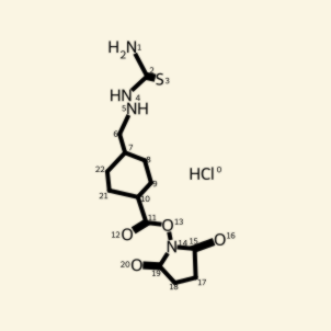 Cl.NC(=S)NNCC1CCC(C(=O)ON2C(=O)CCC2=O)CC1